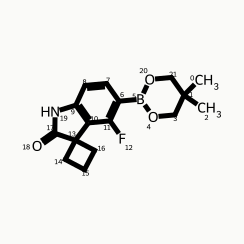 CC1(C)COB(c2ccc3c(c2F)C2(CCC2)C(=O)N3)OC1